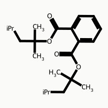 CC(C)CC(C)(C)OC(=O)c1ccccc1C(=O)OC(C)(C)CC(C)C